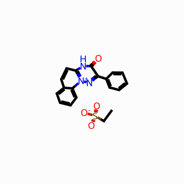 CCS(=O)(=O)[O-].O=c1[nH]c2ccc3ccccc3[n+]2nc1-c1ccccc1